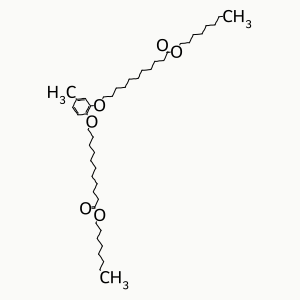 CCCCCCCCOC(=O)CCCCCCCCCCOc1ccc(C)cc1OCCCCCCCCCCC(=O)OCCCCCCCC